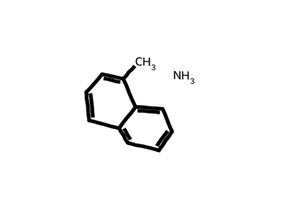 Cc1cccc2ccccc12.N